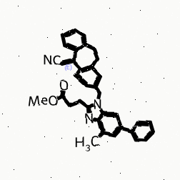 COC(=O)CCc1nc2c(C)cc(-c3ccccc3)cc2n1Cc1ccc2c(c1)CCc1ccccc1/C2=C\C#N